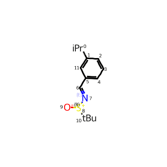 CC(C)c1cccc(/C=N/[S@@+]([O-])C(C)(C)C)c1